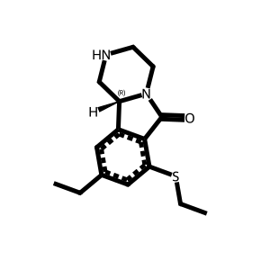 CCSc1cc(CC)cc2c1C(=O)N1CCNC[C@@H]21